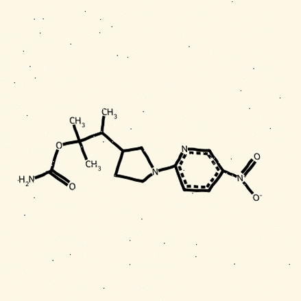 CC(C1CCN(c2ccc([N+](=O)[O-])cn2)C1)C(C)(C)OC(N)=O